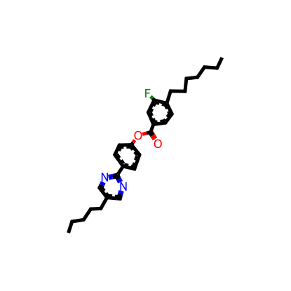 CCCCCCCc1ccc(C(=O)Oc2ccc(-c3ncc(CCCCC)cn3)cc2)cc1F